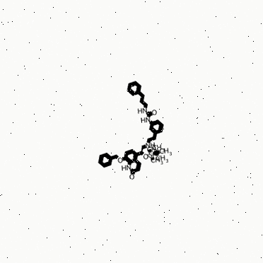 CC(C)(C)[Si](C)(C)O[C@H](CNCCc1cccc(NC(=O)NCCCc2ccccc2)c1)c1ccc(OCc2ccccc2)c2[nH]c(=O)ccc12